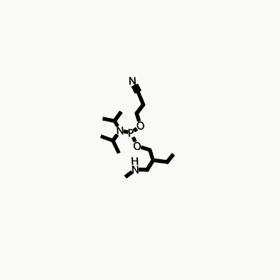 CCC(CNC)COP(OCCC#N)N(C(C)C)C(C)C